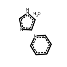 O.c1c[nH]cn1.c1ccncc1